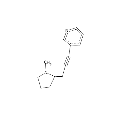 CN1CCC[C@@H]1CC#Cc1cccnc1